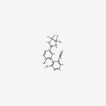 CC1(C)OB(c2ccc(F)c(-c3c(F)cccc3C#N)c2)OC1(C)C